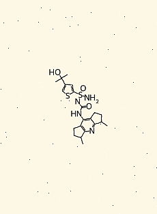 CC1CCc2c1nc1c(c2NC(=O)N=S(N)(=O)c2cc(C(C)(C)O)cs2)CCC1C